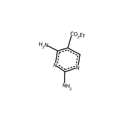 CCOC(=O)c1cnc(N)nc1N